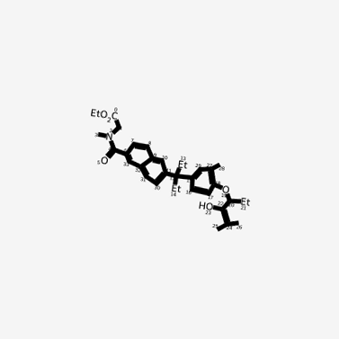 CCOC(=O)CN(C)C(=O)c1ccc2cc(C(CC)(CC)c3ccc(OC(CC)C(O)=C(C)C)c(C)c3)ccc2c1